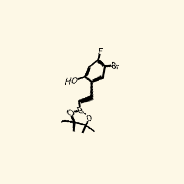 CC1(C)OB(/C=C/c2cc(Br)c(F)cc2O)OC1(C)C